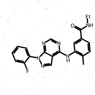 CCNC(=O)c1ccc(C)c(Nc2ncnc3c2cnn3-c2ccccc2F)c1